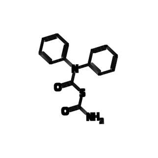 NC(=O)SC(=O)N(c1ccccc1)c1ccccc1